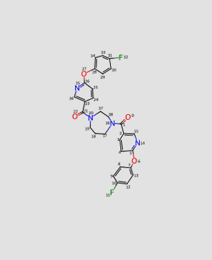 O=C(c1ccc(Oc2ccc(F)cc2)nc1)N1CCCN(C(=O)c2ccc(Oc3ccc(F)cc3)nc2)CC1